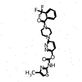 Cc1csc(NC(=O)Oc2ccc(N3CCN(C(=O)c4ccccc4C(F)(F)F)CC3)nn2)n1